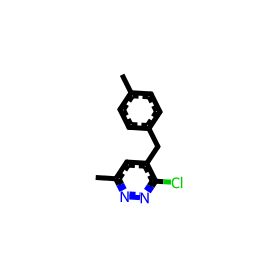 Cc1ccc(Cc2cc(C)nnc2Cl)cc1